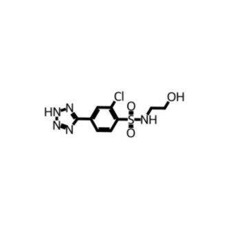 O=S(=O)(NCCO)c1ccc(-c2nn[nH]n2)cc1Cl